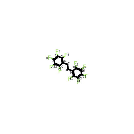 Fc1c(F)c(F)c([CH]Cc2c(F)c(F)c(F)c(F)c2F)c(F)c1F